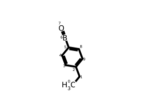 CCc1ccc(B=O)cc1